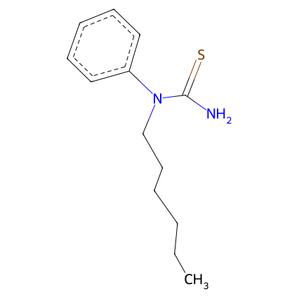 CCCCCCN(C(N)=S)c1ccccc1